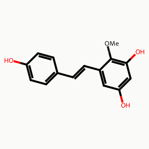 COc1c(O)cc(O)cc1C=Cc1ccc(O)cc1